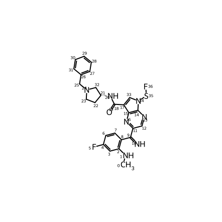 CNc1cc(F)ccc1C(=N)c1cnc2c(n1)c(C(=O)N[C@@H]1CCN(Cc3ccccc3)C1)cn2SF